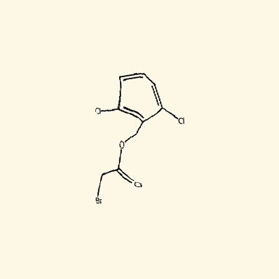 O=C(CBr)OCc1c(Cl)cccc1Cl